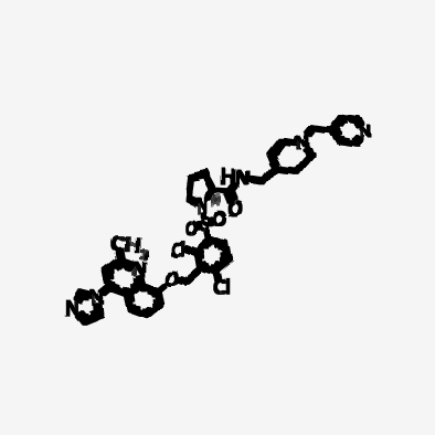 Cc1cc(-n2ccnc2)c2cccc(OCc3c(Cl)ccc(S(=O)(=O)N4CCC[C@H]4C(=O)NCC4CCN(Cc5ccncc5)CC4)c3Cl)c2n1